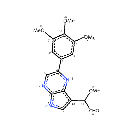 COc1cc(-c2cnc3[nH]cc(C(C=O)OC)c3n2)cc(OC)c1OC